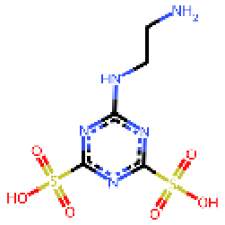 NCCNc1nc(S(=O)(=O)O)nc(S(=O)(=O)O)n1